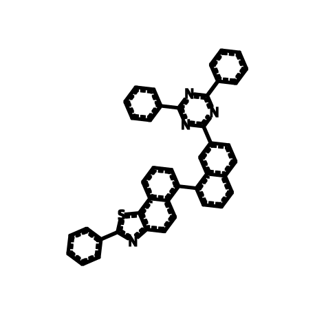 c1ccc(-c2nc(-c3ccccc3)nc(-c3ccc4cccc(-c5cccc6c5ccc5nc(-c7ccccc7)sc56)c4c3)n2)cc1